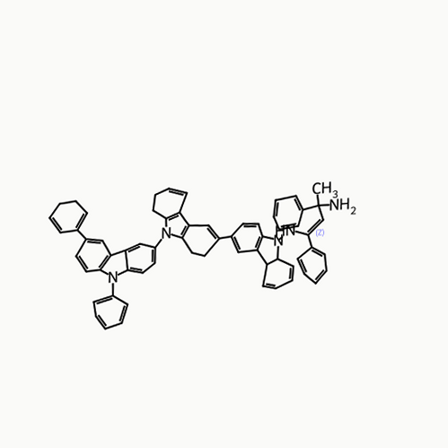 CC(N)(/C=C(\NN1c2ccc(C3=Cc4c5c(n(-c6ccc7c(c6)c6cc(C8=CCCC=C8)ccc6n7-c6ccccc6)c4CC3)CCC=C5)cc2C2C=CC=CC21)c1ccccc1)c1ccccc1